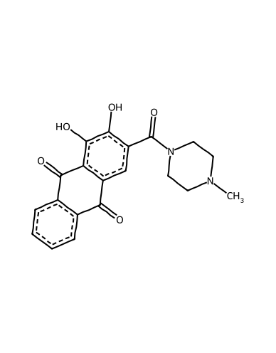 CN1CCN(C(=O)c2cc3c(c(O)c2O)C(=O)c2ccccc2C3=O)CC1